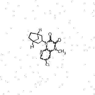 Cn1c(=O)c(=O)n(C2C[C@H]3CC[C@@H](C2)C3)c2ncc(Cl)cc21